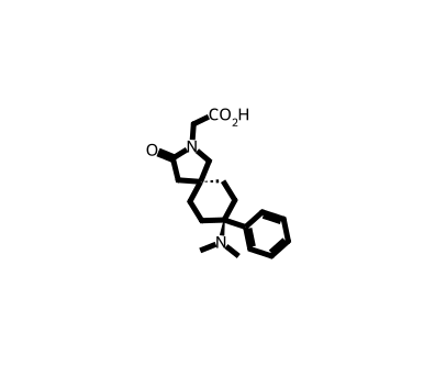 CN(C)[C@]1(c2ccccc2)CC[C@]2(CC1)CC(=O)N(CC(=O)O)C2